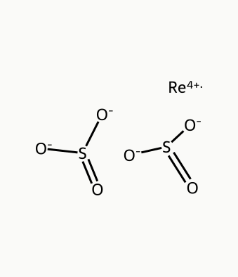 O=S([O-])[O-].O=S([O-])[O-].[Re+4]